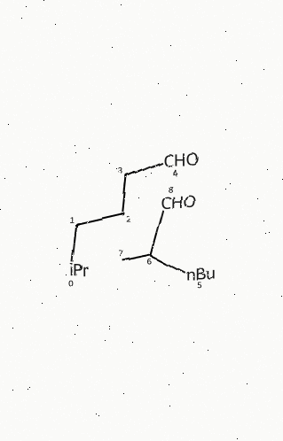 CC(C)CCCC=O.CCCCC(C)C=O